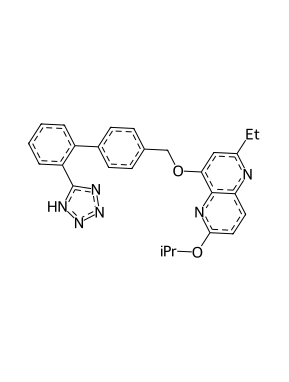 CCc1cc(OCc2ccc(-c3ccccc3-c3nnn[nH]3)cc2)c2nc(OC(C)C)ccc2n1